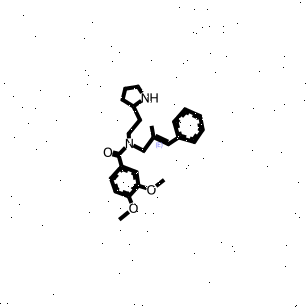 COc1ccc(C(=O)N(CCC2CCCN2)C/C(C)=C/c2ccccc2)cc1OC